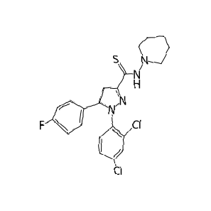 Fc1ccc(C2CC(C(=S)NN3CCCCC3)=NN2c2ccc(Cl)cc2Cl)cc1